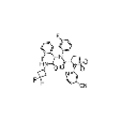 N#Cc1ccnc(N2[C@H](C(=O)N(c3cccc(F)c3)[C@H](C(=O)NC3CC(F)(F)C3)c3ccccc3I)CCS2(=O)=O)c1